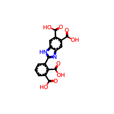 O=C(O)c1cc2nc(-c3cccc(C(=O)O)c3C(=O)O)[nH]c2cc1C(=O)O